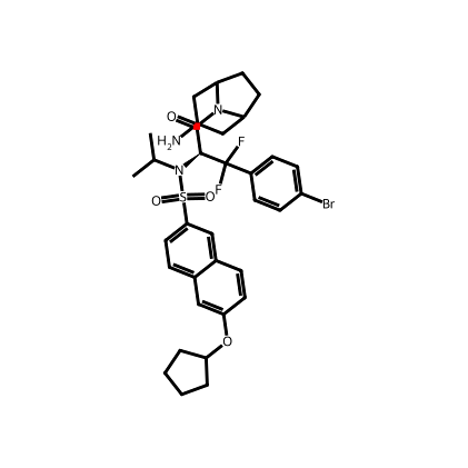 CC(C)N([C@@H](C(=O)N1C2CCC1CC(N)C2)C(F)(F)c1ccc(Br)cc1)S(=O)(=O)c1ccc2cc(OC3CCCC3)ccc2c1